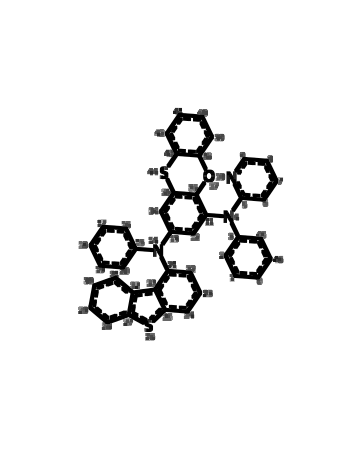 c1ccc(N(c2ccccn2)c2cc(N(c3ccccc3)c3cccc4sc5ccccc5c34)cc3c2Oc2ccccc2S3)cc1